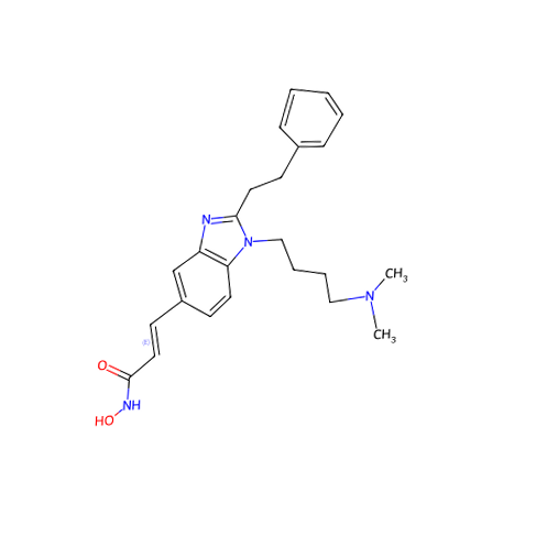 CN(C)CCCCn1c(CCc2ccccc2)nc2cc(/C=C/C(=O)NO)ccc21